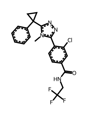 Cn1c(-c2ccc(C(=O)NCC(F)(F)F)cc2Cl)nnc1C1(c2ccccc2)CC1